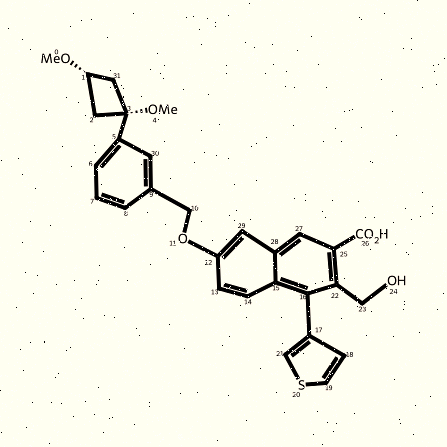 CO[C@H]1C[C@](OC)(c2cccc(COc3ccc4c(-c5ccsc5)c(CO)c(C(=O)O)cc4c3)c2)C1